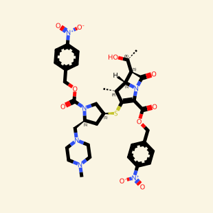 C[C@@H](O)[C@H]1C(=O)N2C(C(=O)OCc3ccc([N+](=O)[O-])cc3)=C(S[C@H]3C[C@@H](CN4CCN(C)CC4)N(C(=O)OCc4ccc([N+](=O)[O-])cc4)C3)[C@H](C)[C@H]12